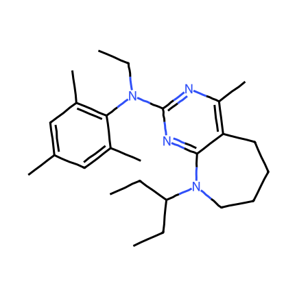 CCC(CC)N1CCCCc2c(C)nc(N(CC)c3c(C)cc(C)cc3C)nc21